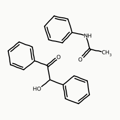 CC(=O)Nc1ccccc1.O=C(c1ccccc1)C(O)c1ccccc1